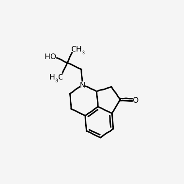 CC(C)(O)CN1CCc2cccc3c2C1CC3=O